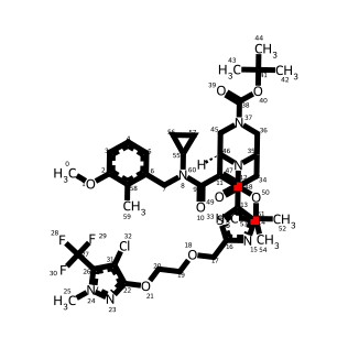 COc1cccc(CN(C(=O)C2=C(c3cnc(COCCOc4nn(C)c(C(F)(F)F)c4Cl)s3)CC3CN(C(=O)OC(C)(C)C)C[C@H]2N3C(=O)OC(C)(C)C)C2CC2)c1C